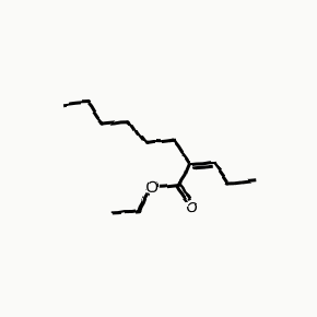 CCC=C(CCCCCC)C(=O)OCC